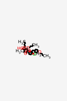 CCCCOc1ccc(Cc2cc([C@]34OC[C@](C(C)(C)O)(O3)[C@@H](OCCCC)[C@H](OCCCC)[C@H]4OCCCC)ccc2Cl)cc1